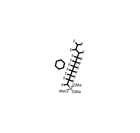 C1CCCCC1.CO[Si](OC)(OC)C(F)C(F)(F)C(F)(F)C(F)(F)C(F)(F)C(F)(F)C(F)(F)C(F)C(F)C(F)F